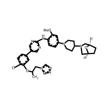 COc1cc(N2CCC(N3C[C@H]4CC[C@@H](C3)O4)CC2)ccc1Nc1ncc(-c2ccc(Cl)c(OC(C)Cn3cnnn3)c2)cn1